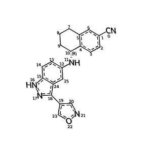 N#Cc1ccc2c(c1)CCC[C@H]2Nc1ccc2[nH]nc(-c3cnoc3)c2c1